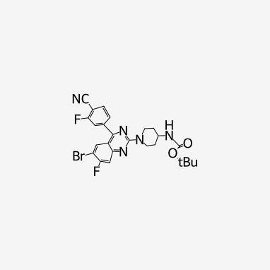 CC(C)(C)OC(=O)NC1CCN(c2nc(-c3ccc(C#N)c(F)c3)c3cc(Br)c(F)cc3n2)CC1